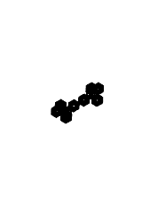 C1=CC(N(c2ccc(C3=CC=C(N(c4ccccc4)c4cccc5ccccc45)CC3)cc2)c2cccc3ccccc23)=CCC1